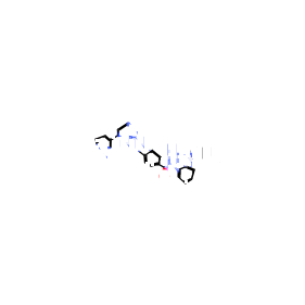 CNc1ccccc1NC(=O)c1ccc(CNc2nccc(-c3cccnc3)n2)cc1